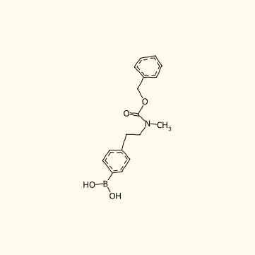 CN(CCc1ccc(B(O)O)cc1)C(=O)OCc1ccccc1